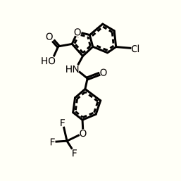 O=C(Nc1c(C(=O)O)oc2ccc(Cl)cc12)c1ccc(OC(F)(F)F)cc1